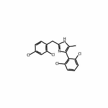 Cc1[nH]c(Cc2ccc(Cl)cc2Cl)nc1-c1c(Cl)cccc1Cl